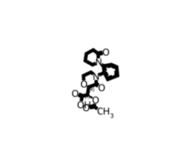 CC(=O)O[C@@H](C(=O)O)[C@H]1OCCN(c2ccccc2N2CCCCC2=O)C1=O